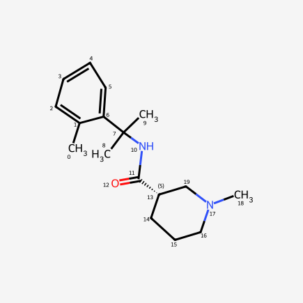 Cc1ccccc1C(C)(C)NC(=O)[C@H]1CCCN(C)C1